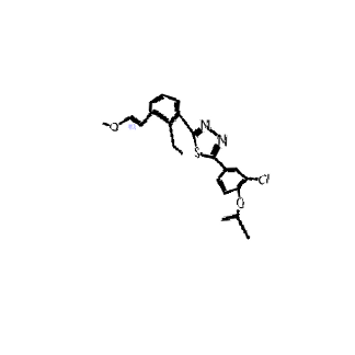 CCc1c(/C=C/OC)cccc1-c1nnc(-c2ccc(OC(C)C)c(Cl)c2)s1